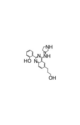 OCCCc1ccc2nc(-c3ccccc3O)nc(N[C@H]3CCNC3)c2c1